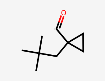 CC(C)(C)CC1([C]=O)CC1